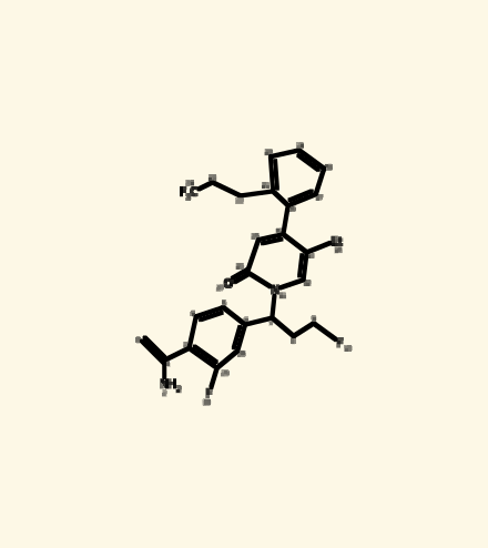 C=C(N)c1ccc(C(CCF)n2cc(CC)c(-c3ccccc3CCC(F)(F)F)cc2=O)cc1F